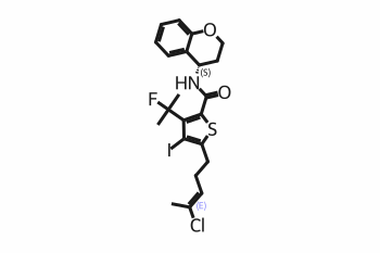 C/C(Cl)=C\CCc1sc(C(=O)N[C@H]2CCOc3ccccc32)c(C(C)(C)F)c1I